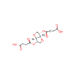 O=C(O)CCC(=O)OC1CO[C@@H]2[C@@H](OC(=O)CCC(=O)O)CO[C@H]12